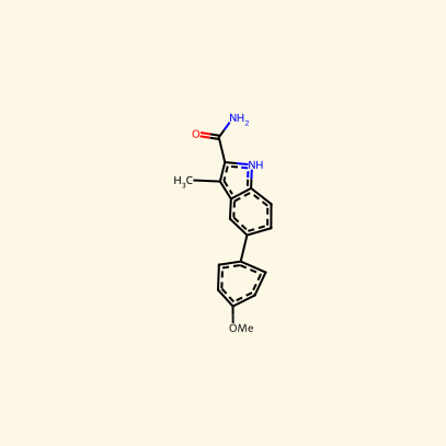 COc1ccc(-c2ccc3[nH]c(C(N)=O)c(C)c3c2)cc1